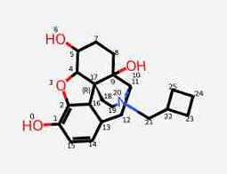 OC1=C2OC3C(O)CCC4(O)C5CC(C=C1)C2[C@]34CCN5CC1CCC1